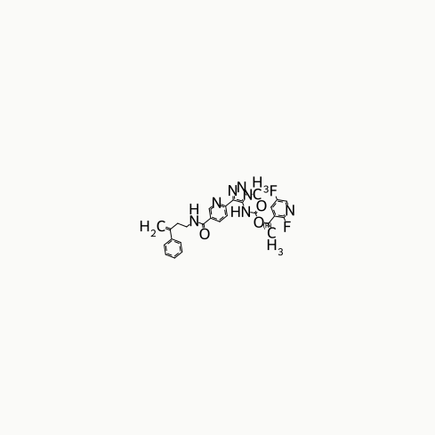 C=C(CCNC(=O)c1ccc(-c2nnn(C)c2NC(=O)O[C@H](C)c2cc(F)cnc2F)nc1)c1ccccc1